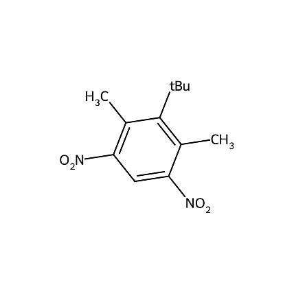 Cc1c([N+](=O)[O-])cc([N+](=O)[O-])c(C)c1C(C)(C)C